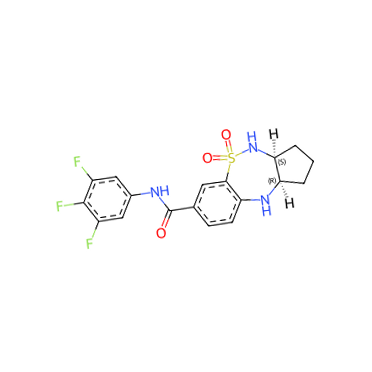 O=C(Nc1cc(F)c(F)c(F)c1)c1ccc2c(c1)S(=O)(=O)N[C@H]1CCC[C@H]1N2